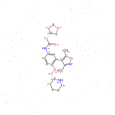 Cc1noc(C)c1-c1cc(NC(=O)C[C@@H]2CCOC2)ccc1OC[C@H]1CCCCN1